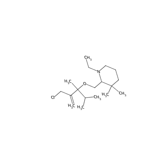 C=C(CCl)C(C)(OCC1N(CC)CCCC1(C)C)C(C)C